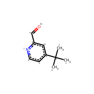 CC(C)(C)c1ccnc(C=O)c1